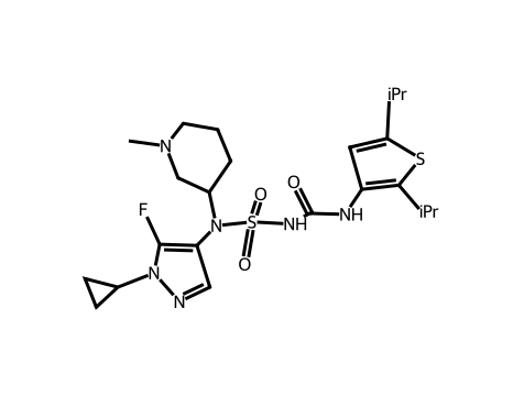 CC(C)c1cc(NC(=O)NS(=O)(=O)N(c2cnn(C3CC3)c2F)C2CCCN(C)C2)c(C(C)C)s1